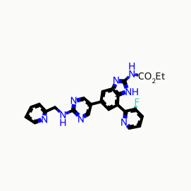 CCOC(=O)Nc1nc2cc(-c3cnc(NCc4ccccn4)nc3)cc(-c3ncccc3F)c2[nH]1